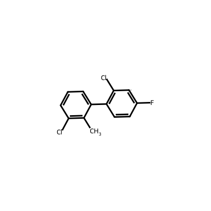 Cc1c(Cl)cccc1-c1ccc(F)[c]c1Cl